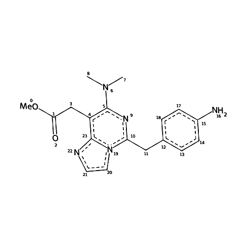 COC(=O)Cc1c(N(C)C)nc(Cc2ccc(N)cc2)n2ccnc12